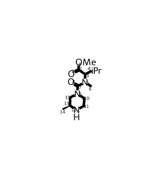 COC(=O)C(C(C)C)N(C)C(=O)N1CCN[C@@H](C)C1